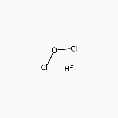 ClOCl.[Hf]